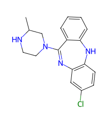 CC1CN(C2=Nc3cc(Cl)ccc3Nc3ccccc32)CCN1